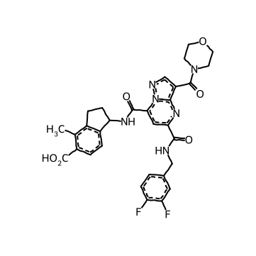 Cc1c(C(=O)O)ccc2c1CCC2NC(=O)c1cc(C(=O)NCc2ccc(F)c(F)c2)nc2c(C(=O)N3CCOCC3)cnn12